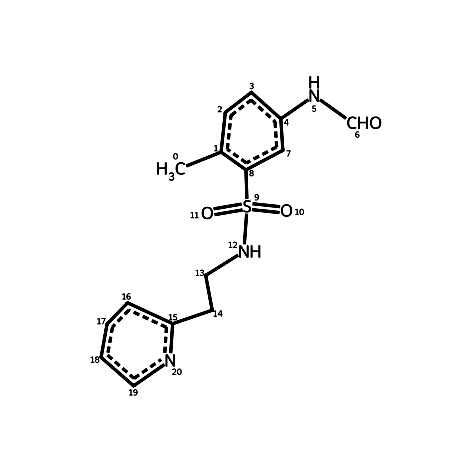 Cc1ccc(NC=O)cc1S(=O)(=O)NCCc1ccccn1